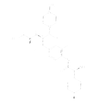 CCC(=O)N[C@@H](C(O)N1CCN(C)CC1)[C@@H](C)c1ccc(NC(=O)[C@@H](N)[C@H]2CC[C@H](C)CC2)c(F)c1